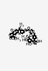 CCc1c2c(nc3ccc(OCC(=O)N4CCN(Cc5ccc(C6C(O)=NN=C6c6cc(C(C)C)c(O)cc6O)cc5)CC4)cc13)-c1cc3c(c(=O)n1C2)COC(=O)C3(O)CC